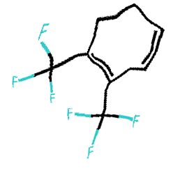 FC(F)(F)C1=C(C(F)(F)F)CCC=C1